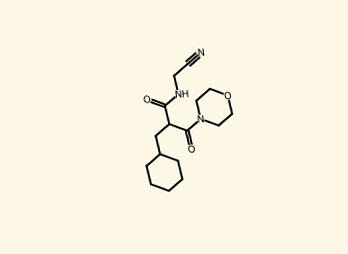 N#CCNC(=O)C(CC1CCCCC1)C(=O)N1CCOCC1